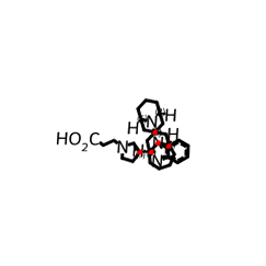 O=C(O)CCN1CC[C@H](c2nc3ccccc3n2[C@H]2C[C@H]3CCC[C@@H](C2)N3[C@@H]2C[C@@H]3CCCC[C@@H](C3)C2)C1